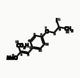 COC(=Cc1ccc(OCC(C)I)cc1)C(=O)O